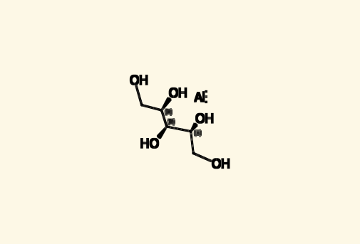 OC[C@@H](O)[C@H](O)[C@@H](O)CO.[Al]